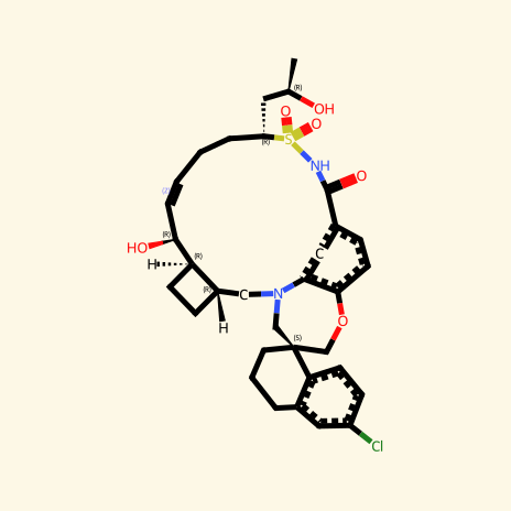 C[C@@H](O)C[C@H]1CC/C=C\[C@H](O)[C@@H]2CC[C@H]2CN2C[C@@]3(CCCc4cc(Cl)ccc43)COc3ccc(cc32)C(=O)NS1(=O)=O